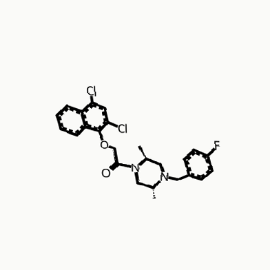 C[C@@H]1CN(C(=O)COc2c(Cl)cc(Cl)c3ccccc23)[C@@H](C)CN1Cc1ccc(F)cc1